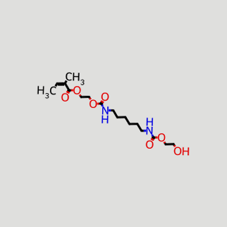 CC=C(C)C(=O)OCCOC(=O)NCCCCCCNC(=O)OCCO